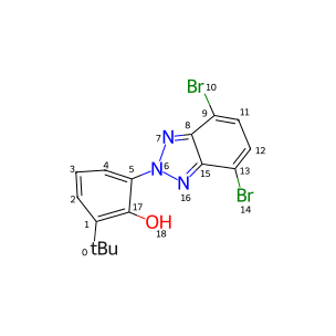 CC(C)(C)c1cccc(-n2nc3c(Br)ccc(Br)c3n2)c1O